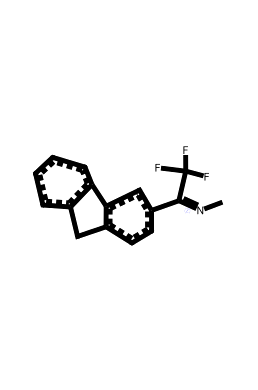 C/N=C(/c1ccc2c(c1)-c1ccccc1C2)C(F)(F)F